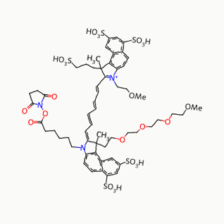 COCCOCCOCCOCCC1(C)\C(=C/C=C/C=C/C=C/C2=[N+](CCOC)c3ccc4c(S(=O)(=O)O)cc(S(=O)(=O)O)cc4c3C2(C)CCCS(=O)(=O)O)N(CCCCCC(=O)ON2C(=O)CCC2=O)c2ccc3c(S(=O)(=O)O)cc(S(=O)(=O)O)cc3c21